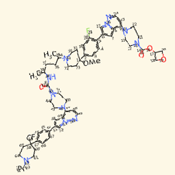 COC1(c2ccc(-c3cc4c(N5CCN(C(=O)OC6COC6)CC5)ccnn4c3)c(F)c2)CCN(C(C)CCC(C)NC(=O)N2CCN(c3ccnn4cc(-c5ccc(C6(C(F)(F)F)CCN(C(C)C)CC6)cc5)cc34)CC2)CC1